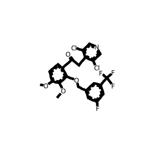 COc1ccc(C(=O)Cc2c(Cl)cncc2Cl)c(OCc2cc(F)cc(C(F)(F)F)c2)c1OC